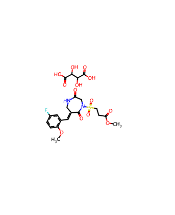 COC(=O)CCS(=O)(=O)N1CC(=O)NCC(=Cc2cc(F)ccc2OC)C1=O.O=C(O)C(O)C(O)C(=O)O